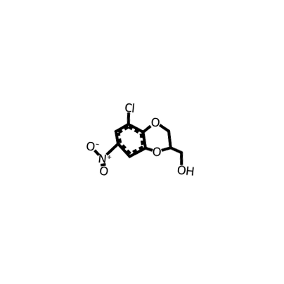 O=[N+]([O-])c1cc(Cl)c2c(c1)OC(CO)CO2